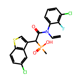 C=CN(C(=O)C(c1csc2ccc(Cl)cc12)P(C)(=O)O)c1cccc(Cl)c1F